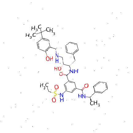 CCS(=O)(=O)Nc1cc(C(=O)N[C@@H](Cc2ccccc2)[C@H](O)CNCc2cc(C(C)(C)C)ccc2O)cc(C(=O)N[C@H](C)c2ccccc2)c1